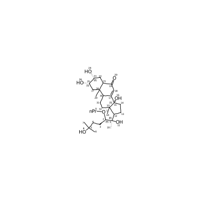 CCCO[C@H](CCC(C)(C)O)[C@](C)(O)C1CC[C@@]2(O)C3=CC(=O)C4C[C@@H](O)[C@@H](O)CC4(C)C3CCC12C